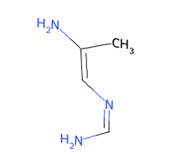 C/C(N)=C\N=C/N